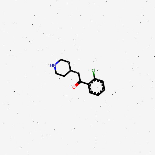 O=C(CC1CCNCC1)c1ccccc1Cl